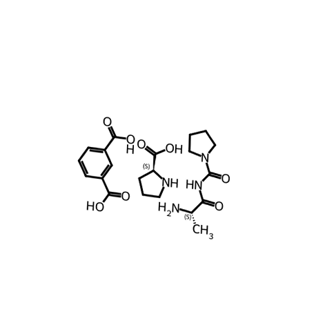 C[C@H](N)C(=O)NC(=O)N1CCCC1.O=C(O)[C@@H]1CCCN1.O=C(O)c1cccc(C(=O)O)c1